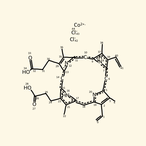 C=CC1=C(C)c2cc3[nH]c(cc4nc(cc5[nH]c(cc1n2)c(C)c5CCC(=O)O)C(CCC(=O)O)=C4C)c(C)c3C=C.[Cl-].[Cl-].[Co+2]